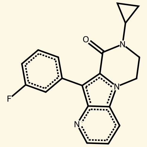 O=C1c2c(-c3cccc(F)c3)c3ncccc3n2CCN1C1CC1